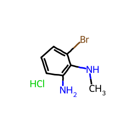 CNc1c(N)cccc1Br.Cl